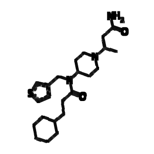 CC(CC(N)=O)N1CCC(N(Cc2ccsc2)C(=O)CCC2CCCCC2)CC1